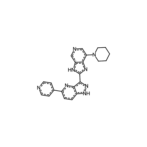 c1cc(-c2ccc3[nH]nc(-c4nc5c(N6CCCCC6)cncc5[nH]4)c3n2)ccn1